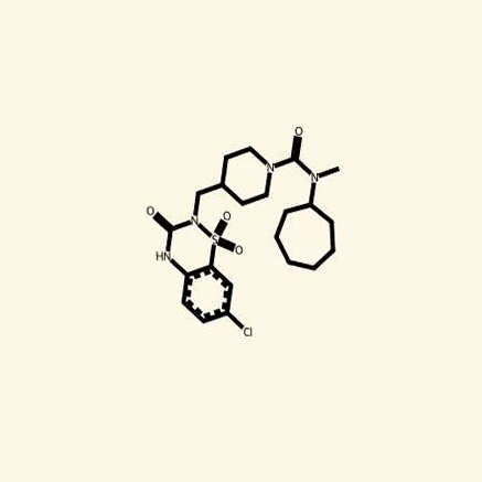 CN(C(=O)N1CCC(CN2C(=O)Nc3ccc(Cl)cc3S2(=O)=O)CC1)C1CCCCCC1